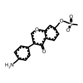 CS(=O)(=O)Oc1ccc2c(=O)c(-c3ccc(N)cc3)coc2c1